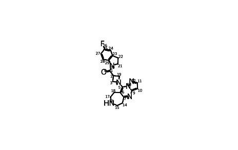 O=C(C1CN(c2c3c(nc4ccnn24)CCNCC3)C1)N1CCc2cc(F)ccc21